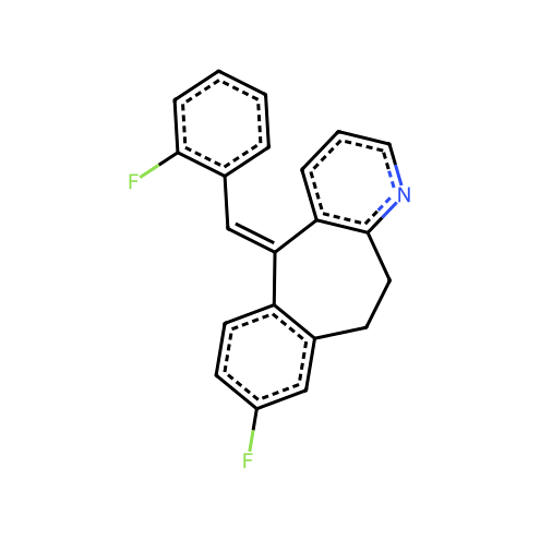 Fc1ccc2c(c1)CCc1ncccc1/C2=C\c1ccccc1F